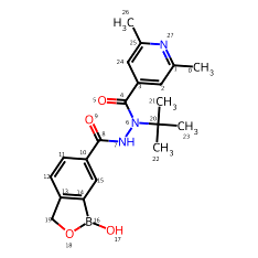 Cc1cc(C(=O)N(NC(=O)c2ccc3c(c2)B(O)OC3)C(C)(C)C)cc(C)n1